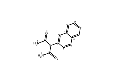 NC(=O)C(C(N)=O)c1ccc2ccccc2c1